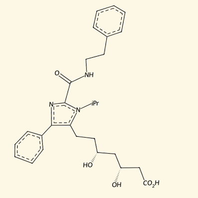 CC(C)n1c(C(=O)NCCc2ccccc2)nc(-c2ccccc2)c1CC[C@@H](O)C[C@@H](O)CC(=O)O